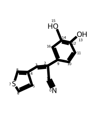 N#CC(=Cc1ccsc1)c1ccc(O)c(O)c1